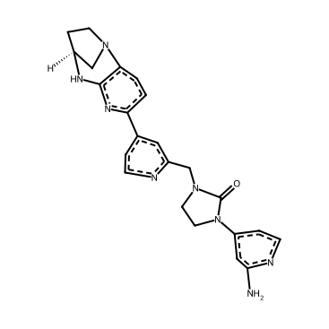 Nc1cc(N2CCN(Cc3cc(-c4ccc5c(n4)N[C@H]4CCN5C4)ccn3)C2=O)ccn1